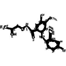 O=C(NOCC(O)C(F)(F)F)c1cc(F)c(F)cc1Nc1ccc(I)cc1Cl